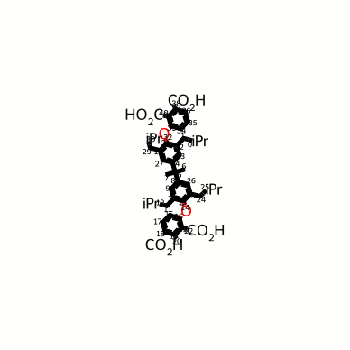 CC(C)Cc1cc(C(C)(C)c2cc(CC(C)C)c(Oc3cccc(C(=O)O)c3C(=O)O)c(CC(C)C)c2)cc(CC(C)C)c1Oc1cccc(C(=O)O)c1C(=O)O